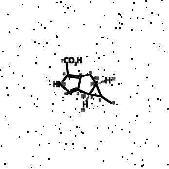 CC1[C@H]2c3n[nH]c(C(=O)O)c3C[C@@H]12